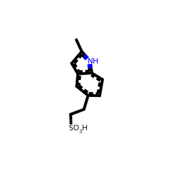 Cc1cc2cc(CCS(=O)(=O)O)ccc2[nH]1